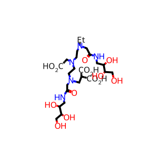 CCN(CCN(CCN(CC(=O)NCC(O)C(O)CO)CC(C(=O)O)C(=O)O)CC(=O)O)CC(=O)NCC(O)C(O)CO